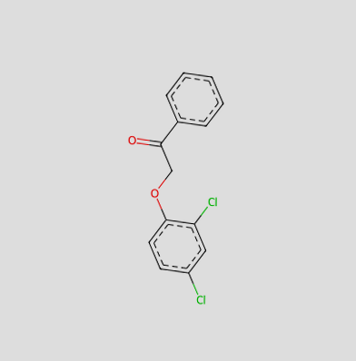 O=C(COc1ccc(Cl)cc1Cl)c1ccccc1